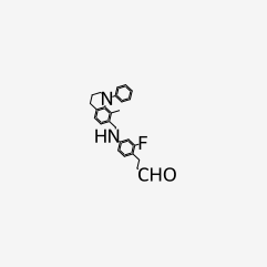 Cc1c(CNc2ccc(CCC=O)c(F)c2)ccc2c1N(c1ccccc1)CCC2